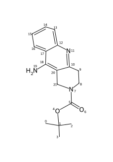 CC(C)(C)OC(=O)N1CCc2nc3ccccc3c(N)c2C1